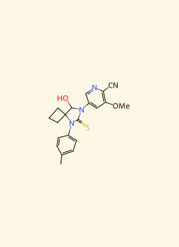 COc1cc(N2C(=S)N(c3ccc(C)cc3)C3(CCC3)C2O)cnc1C#N